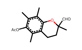 CC(=O)Oc1c(C)c(C)c2c(c1C)CCC(C)(C=O)O2